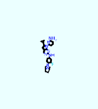 Nc1cccc(-n2c(C3CC3)cc3cnc(Nc4ccc(N5CC6CCC(C5)N6)c(F)c4)nc32)n1